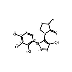 CC1CCN(c2c(C#N)cnn2-c2ccc(Cl)c(Cl)c2Cl)C1=O